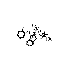 Cc1ccccc1O[C@H]1c2ccccc2C[C@]1(CO[Si](C)(C)C(C)(C)C)OS(C)(=O)=O